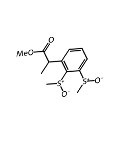 COC(=O)C(C)c1cccc([S+](C)[O-])c1[S+](C)[O-]